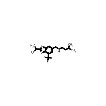 CC(C)CCNCc1cc(C(F)(F)F)c2oc(C(C)C)nc2c1